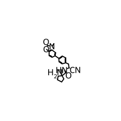 Cn1c(=O)oc2ccc(-c3ccc(C[C@@H](C#N)NC(=O)C4(N)CCCC4)cc3)cc21